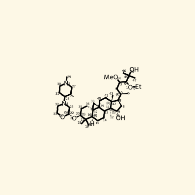 CCO[C@@H](C(C[C@@H](C)[C@H]1C[C@H](O)[C@@]2(C)C3CC[C@H]4C(C)(C)[C@@H](O[C@H]5CN(C6CCN(C)CC6)CCO5)CC[C@@]45C[C@@]35CC[C@]12C)OC)C(C)(C)O